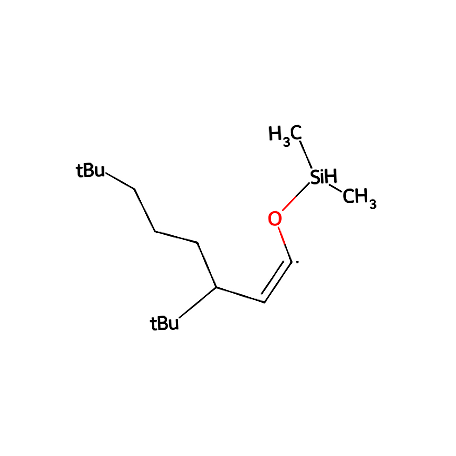 C[SiH](C)O/[C]=C\C(CCCC(C)(C)C)C(C)(C)C